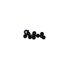 C=C1/C=C\C=C/N(c2ccccc2)c2cc(-c3ccccc3Nc3c4ccccc4c(-c4ccc(-c5cc6ccccc6c6ccccc56)cc4)c4ccccc34)ccc21